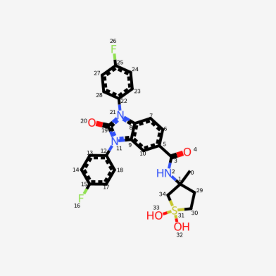 CC1(NC(=O)c2ccc3c(c2)n(-c2ccc(F)cc2)c(=O)n3-c2ccc(F)cc2)CCS(O)(O)C1